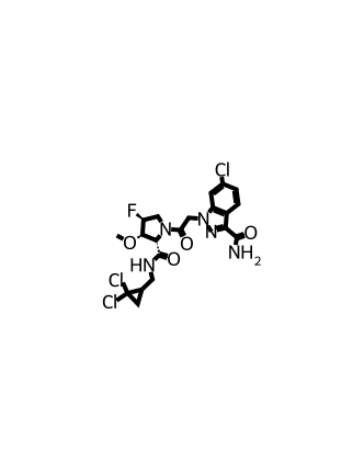 CO[C@H]1[C@@H](C(=O)NCC2CC2(Cl)Cl)N(C(=O)Cn2nc(C(N)=O)c3ccc(Cl)cc32)C[C@@H]1F